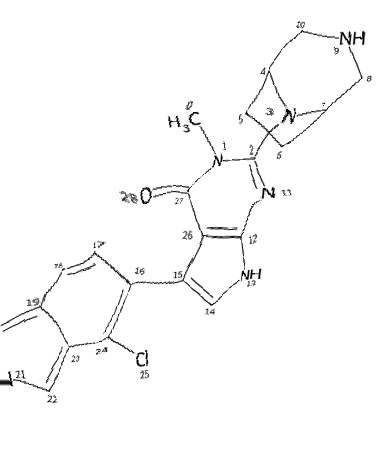 Cn1c(N2C3CCC2CNC3)nc2[nH]cc(-c3ccc4n[nH]cc4c3Cl)c2c1=O